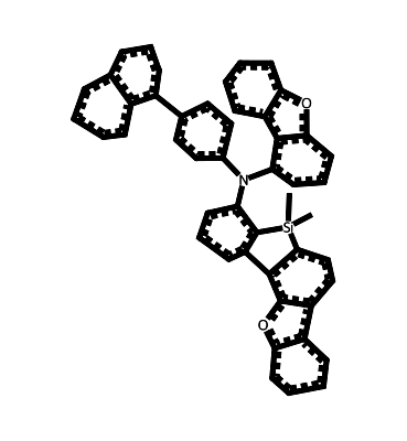 C[Si]1(C)c2ccc3c(oc4ccccc43)c2-c2cccc(N(c3ccc(-c4cccc5ccccc45)cc3)c3cccc4oc5ccccc5c34)c21